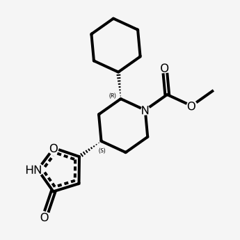 COC(=O)N1CC[C@H](c2cc(=O)[nH]o2)C[C@@H]1C1CCCCC1